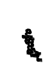 CSc1ncc2cc(N3CCN(C(=O)OCc4ccccc4)c4c(C)cccc43)c(=O)n(CCCC(F)(F)CCO)c2n1